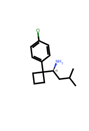 CC(C)C[C@H](N)C1(c2ccc(Cl)cc2)CCC1